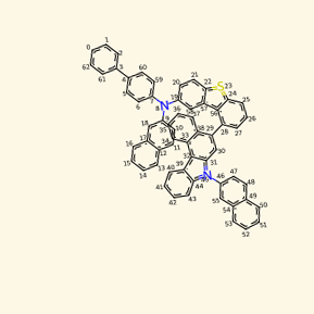 c1ccc(-c2ccc(N(c3ccc4ccccc4c3)c3ccc4sc5cccc(-c6cc7c(c8ccccc68)c6ccccc6n7-c6ccc7ccccc7c6)c5c4c3)cc2)cc1